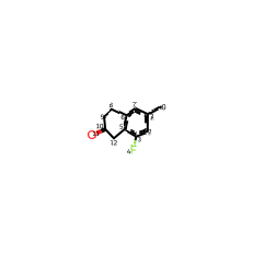 Cc1cc(F)c2c(c1)CCC(=O)C2